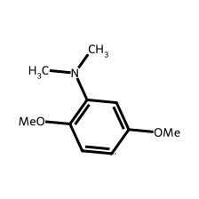 COc1[c]cc(OC)c(N(C)C)c1